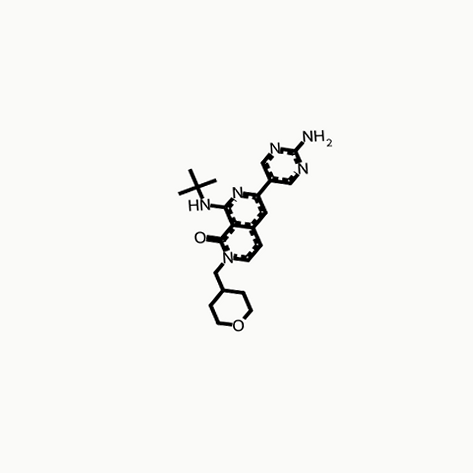 CC(C)(C)Nc1nc(-c2cnc(N)nc2)cc2ccn(CC3CCOCC3)c(=O)c12